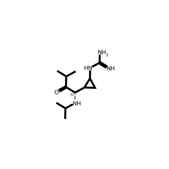 CC(C)N[C@H](C(=O)C(C)C)C1CC1NC(=N)N